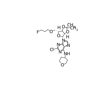 CC1(C)O[C@@H]2[C@H](O1)[C@@H](COCCCF)O[C@H]2n1cnc2c(NC3CCOCC3)nc(Cl)nc21